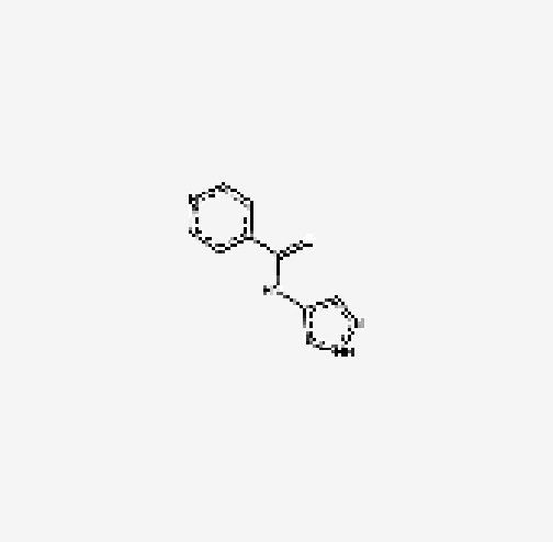 O=C(Nc1cn[nH]c1)c1ccncc1